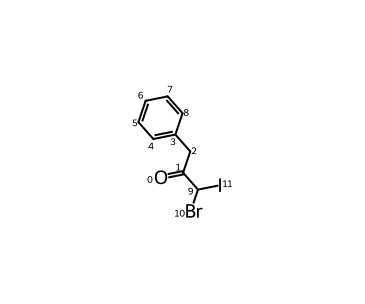 O=C(Cc1ccccc1)C(Br)I